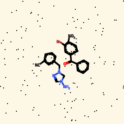 N#Cc1cccc(CN2CN(N)C=N2)c1.O=C(c1ccccc1)c1ccc([N+](=O)[O-])c(Br)c1